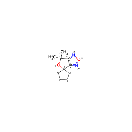 CC1(C)OC2(CCCC2)c2nonc21